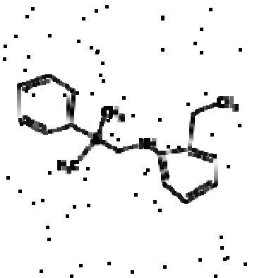 CCc1ccccc1NC[Si](C)(C)c1ccccc1